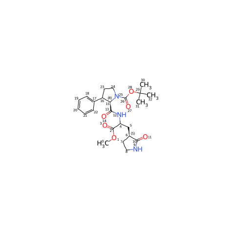 COC(=O)C(C[C@@H]1CCNC1=O)NC(=O)[C@H]1C(c2ccccc2)CCN1C(=O)OC(C)(C)C